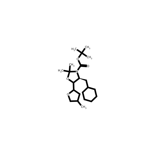 CC1COC(C2OC(C)(C)N(C(=O)OC(C)(C)C)[C@H]2CC2CCCCC2)C1